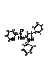 O=C(Nc1cc(-c2ccccc2)nn1-c1ccccc1)c1ccccn1